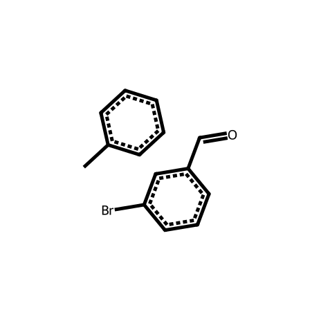 Cc1ccccc1.O=Cc1cccc(Br)c1